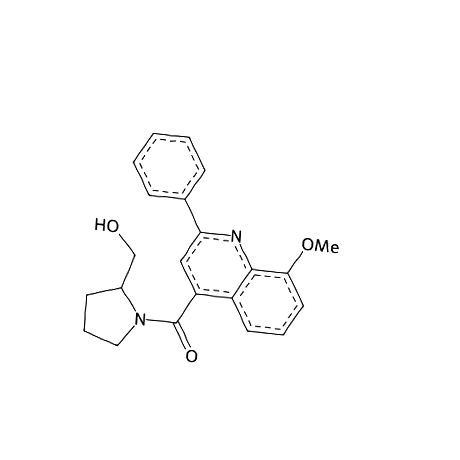 COc1cccc2c(C(=O)N3CCCC3CO)cc(-c3ccccc3)nc12